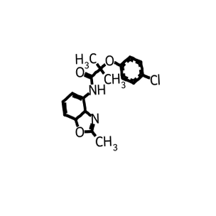 CC1=NC2C(NC(=O)C(C)(C)Oc3ccc(Cl)cc3)=CC=CC2O1